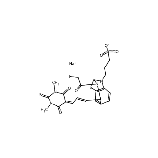 CN1C(=O)C(=CC=CC2c3ccc4c(c3)SC(N4CCCS(=O)(=O)[O-])N2C(=O)CI)C(=O)N(C)C1=S.[Na+]